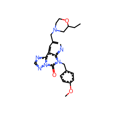 C=C(/C=c1\c(=N/C)n(Cc2ccc(OC)cc2)c(=O)n2ncnc12)CN1CCOC(CC)C1